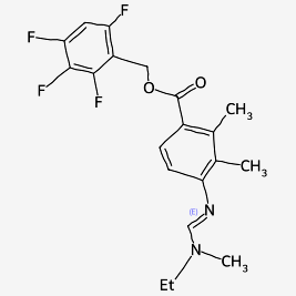 CCN(C)/C=N/c1ccc(C(=O)OCc2c(F)cc(F)c(F)c2F)c(C)c1C